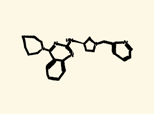 c1ccc(CN2CC[C@@H](Nc3nc(N4CCCCCC4)c4ccccc4n3)C2)nc1